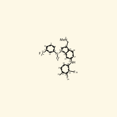 CNCc1cn([S+]([O-])c2cccc(C(F)(F)F)c2)c2cc(Nc3ccc(C)c(F)c3F)ccc12